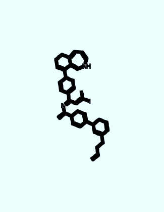 C=CCCC1=CC(C2=CCC(C(=C)/N=C(\C=C(/C)I)C3=CCC(C4=CCCC5=CC=CNC=C54)C=C3)C=C2)CC=C1